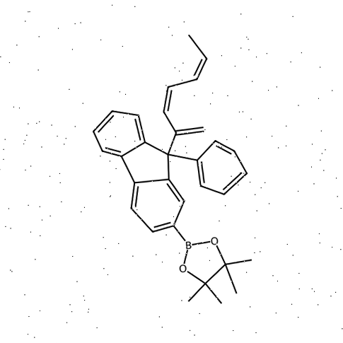 C=C(/C=C\C=C/C)C1(c2ccccc2)c2ccccc2-c2ccc(B3OC(C)(C)C(C)(C)O3)cc21